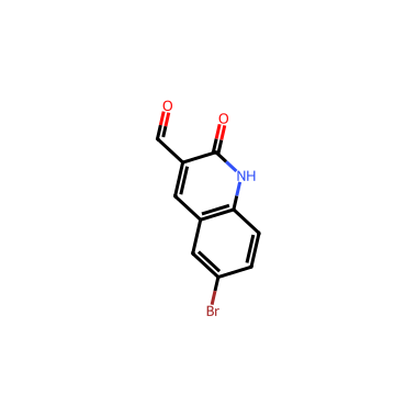 O=Cc1cc2cc(Br)ccc2[nH]c1=O